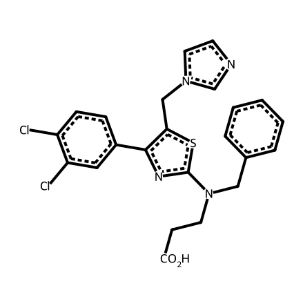 O=C(O)CCN(Cc1ccccc1)c1nc(-c2ccc(Cl)c(Cl)c2)c(Cn2ccnc2)s1